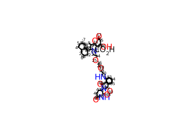 C[C@H]1C=C2C=C[C@H](C)[C@H](CC[C@@H]3C[C@@H](O)CC(=O)O3)[C@@H]2[C@@H](CN(CCOCCOCCNc2cccc3c2C(=O)N(C2CCC(=O)NC2=O)C3=O)C(=O)O)C1